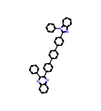 c1ccc(-c2nc3ccccc3nc2-c2ccc(-c3ccc(-c4ccc(-c5nc6ccccc6n5-c5ccccc5)cc4)cc3)cc2)cc1